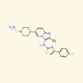 CCc1nc2ccc(C3CCN(SN)CC3)cn2c1N(C)c1nc(-c2ccc(F)cc2)cs1